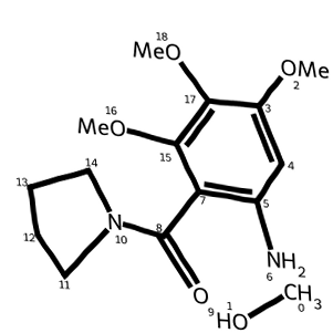 CO.COc1cc(N)c(C(=O)N2CCCC2)c(OC)c1OC